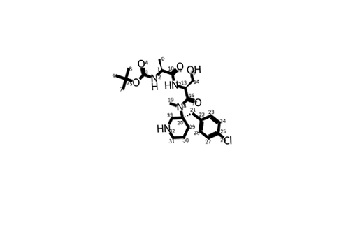 C[C@H](NC(=O)OC(C)(C)C)C(=O)N[C@@H](CO)C(=O)N(C)[C@@]1(Cc2ccc(Cl)cc2)CCCNC1